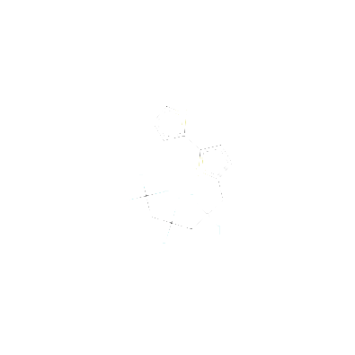 FC(F)(F)CC(F)(F)CC(F)(F)Cc1ccc(-c2cccs2)s1